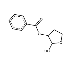 O=C(OC1CCOC1O)c1ccccc1